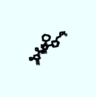 CCCc1cccc(-c2cc(NC(=O)[C@H]3CNC(=O)C3)nn2C2CCCCCC2)c1